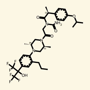 CCCc1cc(C(O)(C(F)(F)F)C(F)(F)F)ccc1N1C[C@H](C)N(C(=O)CN(C(N)=O)C(=O)[C@@H](C)c2ccc(OC(C)C)cc2)C[C@H]1C